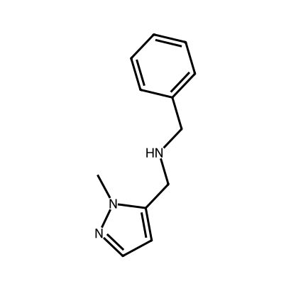 Cn1nccc1CNCc1ccccc1